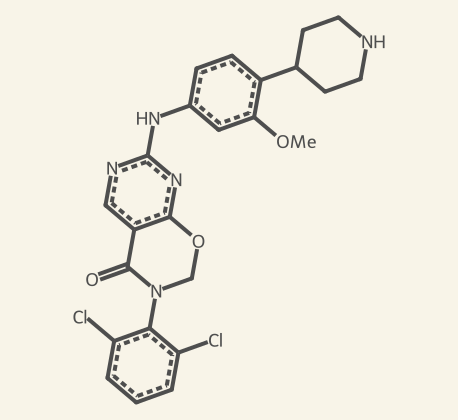 COc1cc(Nc2ncc3c(n2)OCN(c2c(Cl)cccc2Cl)C3=O)ccc1C1CCNCC1